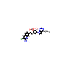 CNc1ncnc2c1ccn2[C@@H]1C[C@H](CCc2ccc3cc(Br)c(N)nc3c2)[C@@H](O)[C@H]1O